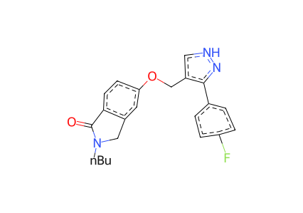 CCCCN1Cc2cc(OCc3c[nH]nc3-c3ccc(F)cc3)ccc2C1=O